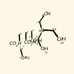 CC(=O)O.CC(=O)O.CC(=O)O.COC(C)=O.OCN(CO)CO